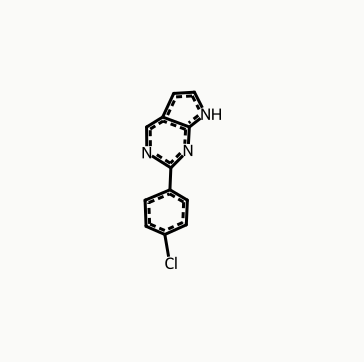 Clc1ccc(-c2ncc3cc[nH]c3n2)cc1